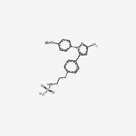 COc1ccc(-n2nc(C(F)(F)F)cc2-c2ccc(CCCNS(C)(=O)=O)cc2)cc1